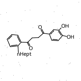 CCCCCCCc1ccccc1C(=O)CCC(=O)c1ccc(O)c(O)c1